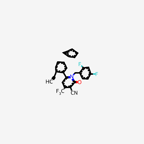 C#Cc1ccccc1-c1cc(C(F)(F)F)c(C#N)c(=O)n1Cc1ccc(F)cc1F.c1cc2cc-2c1